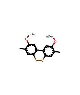 CCCCCCCCCCOc1cc2c(cc1C)SSc1cc(C)c(OCCCCCCCCCC)cc1-2